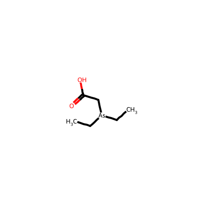 CC[As](CC)CC(=O)O